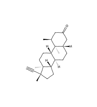 C#C[C@@]1(C)CC[C@H]2[C@@H]3CC[C@H]4CC(=O)C[C@H](C)[C@]4(C)[C@H]3CC[C@@]21C